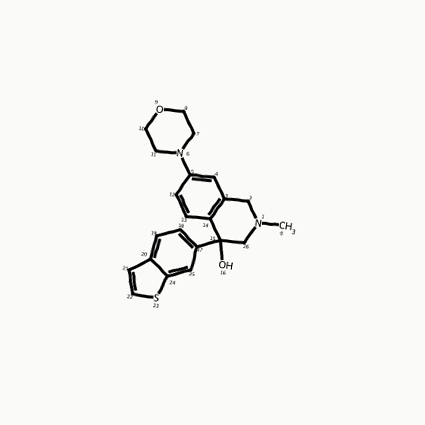 CN1Cc2cc(N3CCOCC3)ccc2C(O)(c2ccc3ccsc3c2)C1